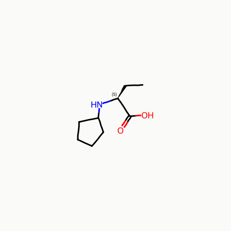 CC[C@H](NC1CCCC1)C(=O)O